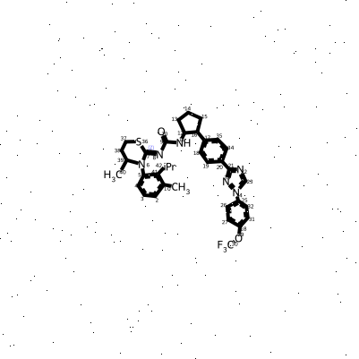 Cc1cccc(N2/C(=N/C(=O)NC3CCCC3c3ccc(-c4ncn(-c5ccc(OC(F)(F)F)cc5)n4)cc3)SCCC2C)c1C(C)C